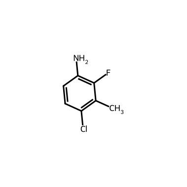 Cc1c(Cl)ccc(N)c1F